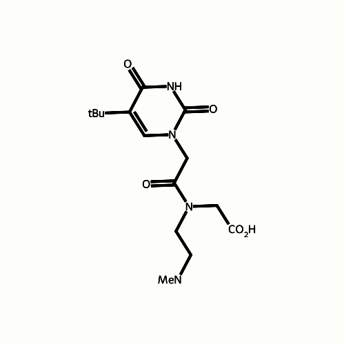 CNCCN(CC(=O)O)C(=O)Cn1cc(C(C)(C)C)c(=O)[nH]c1=O